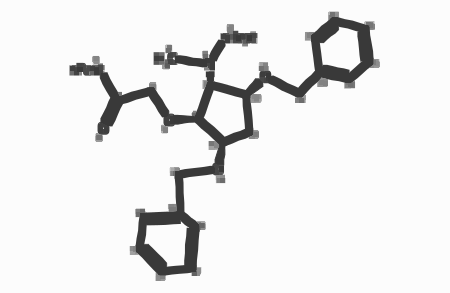 CCCCCCCN(C)[C@H]1[C@H](OCC(=O)CCCCC)[C@H](OCc2ccccc2)C[C@@H]1OCc1ccccc1